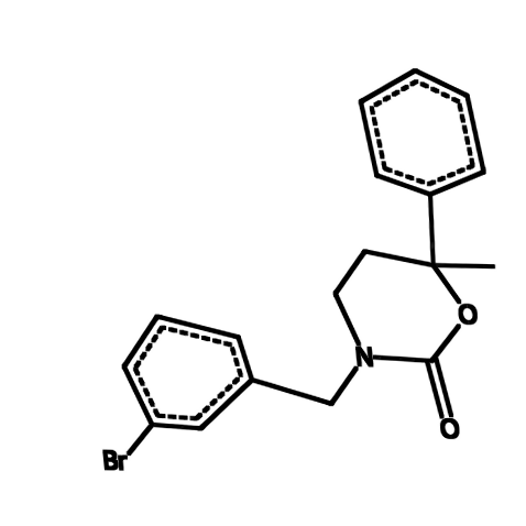 CC1(c2ccccc2)CCN(Cc2cccc(Br)c2)C(=O)O1